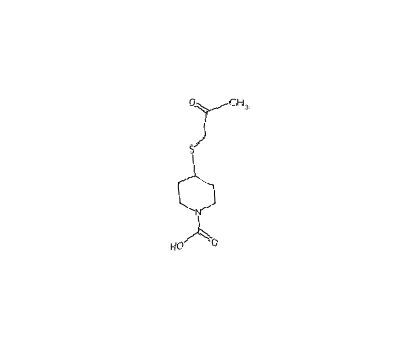 CC(=O)CSC1CCN(C(=O)O)CC1